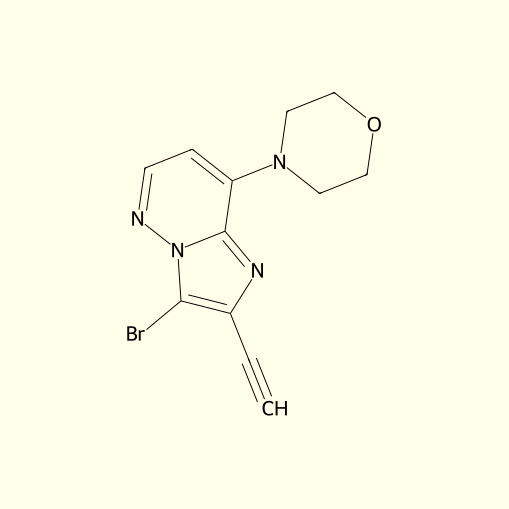 C#Cc1nc2c(N3CCOCC3)ccnn2c1Br